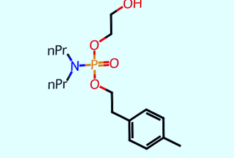 CCCN(CCC)P(=O)(OCCO)OCCc1ccc(C)cc1